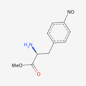 COC(=O)[C@@H](N)Cc1ccc(N=O)cc1